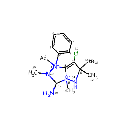 CC(=O)[N+]1(c2ccccc2)C2=C(Cl)C(C)(C(C)(C)C)N[N+]2(C)C(N)N1C